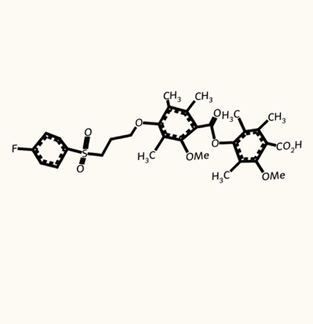 COc1c(C)c(OC(=O)c2c(C)c(C)c(OCCCS(=O)(=O)c3ccc(F)cc3)c(C)c2OC)c(C)c(C)c1C(=O)O